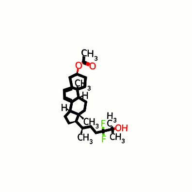 CC(=O)O[C@H]1CC[C@@]2(C)C(=CC=C3[C@@H]4CC[C@H]([C@H](C)CCC(F)(F)C(C)(C)O)[C@@]4(C)CC[C@@H]32)C1